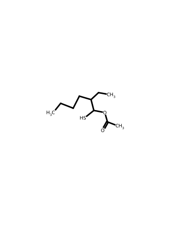 CCCCC(CC)C(S)OC(C)=O